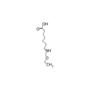 CCOCNCCCCCCC(=O)O